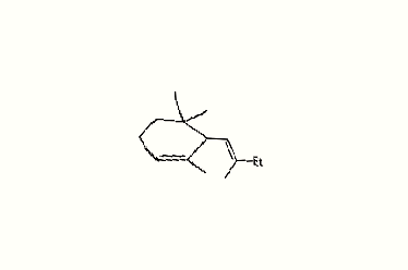 CC/C(C)=C/C1C(C)=CCCC1(C)C